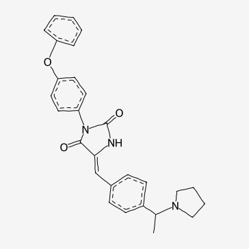 CC(c1ccc(/C=C2\NC(=O)N(c3ccc(Oc4ccccc4)cc3)C2=O)cc1)N1CCCC1